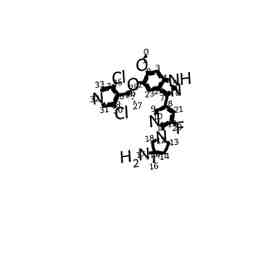 COc1cc2[nH]nc(-c3cnc(N4CC[C@](C)(N)C4)c(F)c3)c2cc1O[C@H](C)c1c(Cl)cncc1Cl